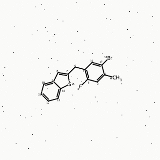 Cc1cc(F)c(Cc2cc3ccccc3s2)cc1Br